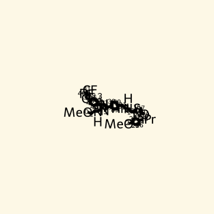 COCCNc1nc(-c2ccc(CNNCC3SCC(=O)N3c3cc(OC)ccc3C(C)C)cc2)nn1-c1ccc(OC(F)(F)C(F)(F)F)cc1